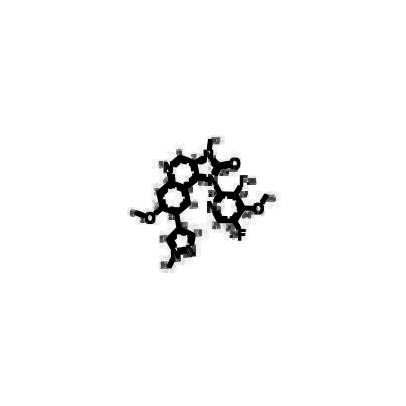 COc1cc2ncc3c(c2cc1-c1cnn(C)c1)n(-c1ncc(F)c(OC)c1F)c(=O)n3C